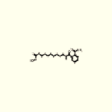 NC(=O)c1ccccc1C(=O)NCCCCCCCCCC(=O)OO